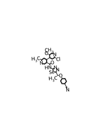 COc1cnc(Cl)cc1-c1cc(C)ncc1C(=O)Nc1nnc(C(C)Oc2ccc(C#N)cc2)[se]1